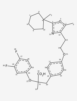 Cc1oc(C2(C)CCCCC2)nc1CCOc1ccc(CC(C)(Oc2ccc(F)c(F)c2)C(=O)O)cc1